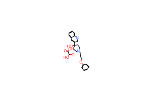 O=C(O)C(=O)O.OC1(c2cnc3ccccc3c2)CCN(CCCOc2ccccc2)CC1